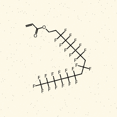 C=CC(=O)OCCC(F)(F)C(F)(F)C(F)(F)C(F)(F)C(F)(F)CC(F)(F)CC(F)(F)C(F)(F)C(F)(F)C(F)(F)C(F)(F)C(F)(F)F